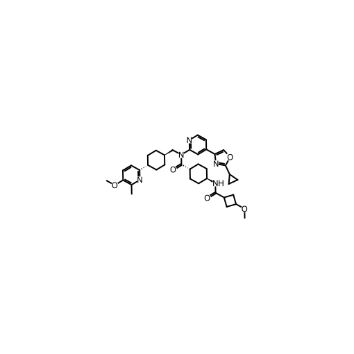 COc1ccc([C@H]2CC[C@H](CN(c3cc(-c4coc(C5CC5)n4)ccn3)C(=O)[C@H]3CC[C@H](NC(=O)C4CC(OC)C4)CC3)CC2)nc1C